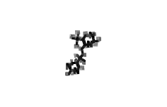 Cc1ncc(C(C)(C)CCc2nc(C)ncc2C(C)(C)C)cn1